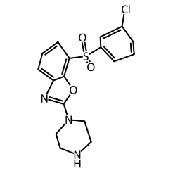 O=S(=O)(c1cccc(Cl)c1)c1cccc2nc(N3CCNCC3)oc12